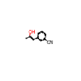 CC(O)=Cc1cccc(C#N)c1